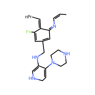 C\C=C/N=C1/C=C(CNC2=CNCC=C2N2CCNCC2)C=C(F)/C1=C\CCC